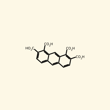 O=C(O)c1ccc2cc3ccc(C(=O)O)c(C(=O)O)c3cc2c1C(=O)O